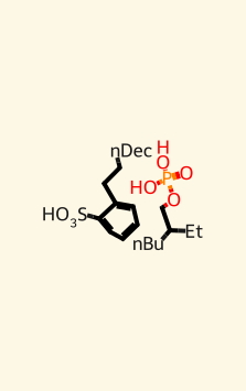 CCCCC(CC)COP(=O)(O)O.CCCCCCCCCCCCc1ccccc1S(=O)(=O)O